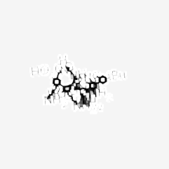 Cc1nc(-c2ccc(C(C)(C)C)cc2C#N)nc(N)c1C(=O)N[C@@H](CNS(N)(=O)=O)C(=O)N(C)[C@@H]1C(=O)N[C@@H](C)C(=O)N[C@H](C(=O)O)Cc2ccc(OCCCN)c(c2)-c2cc1cc(OCCCN)c2O